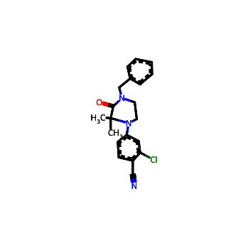 CC1(C)C(=O)N(Cc2ccccc2)CCN1c1ccc(C#N)c(Cl)c1